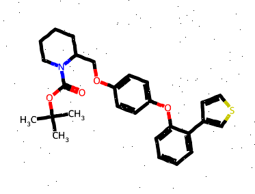 CC(C)(C)OC(=O)N1CCCCC1COc1ccc(Oc2ccccc2-c2ccsc2)cc1